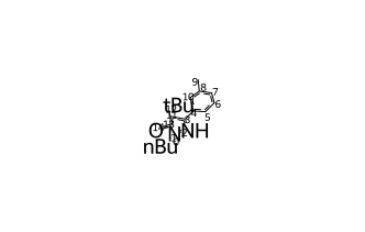 CCCCn1[nH]c(-c2cccc(C)c2)c(C(C)(C)C)c1=O